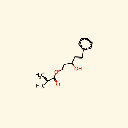 C=C(C)C(=O)OCCC(O)C=Cc1ccccc1